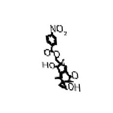 CC1=C2C(=C[C@@](C)(COC(=O)c3ccc([N+](=O)[O-])cc3)C2O)C(=O)[C@](C)(O)C12CC2